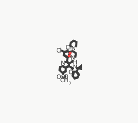 CS(=O)(=O)c1ccc2nc(-c3ccc(Cl)c(Cl)c3)c(CN3CCC(N4CCCCC4)CC3)c(C(=O)NC3(c4ccccc4)CC3)c2c1